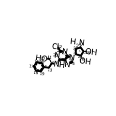 N[C@H]1C[C@@H](n2cnc3c(N[C@H](CO)Cc4ccccc4)nc(Cl)nc32)[C@H](O)[C@@H]1O